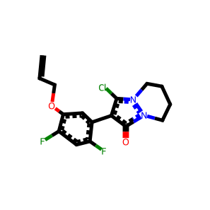 C=CCOc1cc(-c2c(Cl)n3n(c2=O)CCCC3)c(F)cc1F